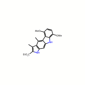 CCOC(=O)c1[nH]c2cc3[nH]c4c(OC)ccc(OC)c4c3c(C)c2c1C